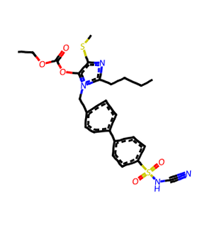 CCCCc1nc(SC)c(OC(=O)OCC)n1Cc1ccc(-c2ccc(S(=O)(=O)NC#N)cc2)cc1